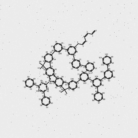 C=C/C=C\C=C/Cc1cc(-c2cccc(-c3ccccc3)c2)cc(-c2cccc(-c3ccc4c(c3)-c3cc5c6cc7c(cc6n(-c6nc(-c8ccccc8)nc(-c8ccccc8)n6)c5cc3C4(C)C)C(C)(C)c3ccc(-c4cccc(-c5cc(-c6ccccc6)cc(-c6cccc(-c8ccccc8)c6)c5)c4)cc3-7)c2)c1